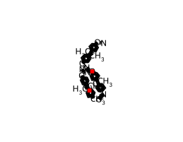 Cc1ccc(C(C)(C)c2ccc(Oc3nc(Oc4ccc(C(C)(C)c5ccc(N=C=O)cc5)cc4)nc(Oc4ccc(C(C)(C)c5ccc(OC#N)cc5)cc4)n3)cc2)cc1